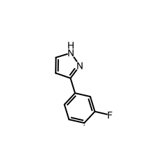 Fc1[c]ccc(-c2cc[nH]n2)c1